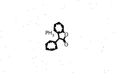 O=C1Oc2ccccc2C1c1ccccc1.P